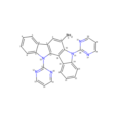 Bc1cc2c3ccccc3n(-c3ncccn3)c2c2c3ccccc3n(-c3ncccn3)c12